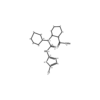 COC(=O)C1CCCCC1N(C(=O)Nc1ncc(Cl)s1)C1CCCCC1